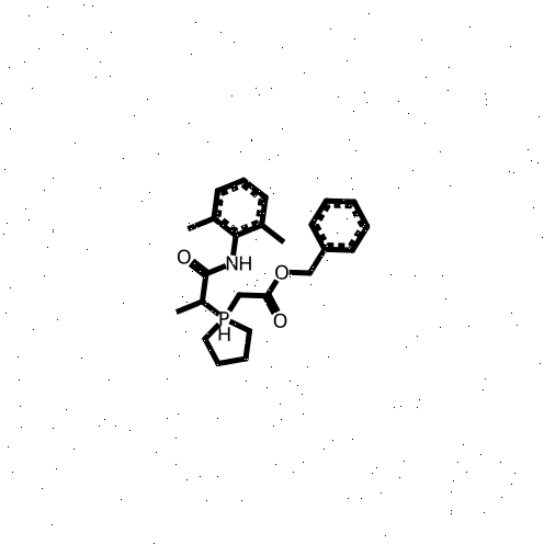 Cc1cccc(C)c1NC(=O)C(C)[PH]1(CC(=O)OCc2ccccc2)CCCC1